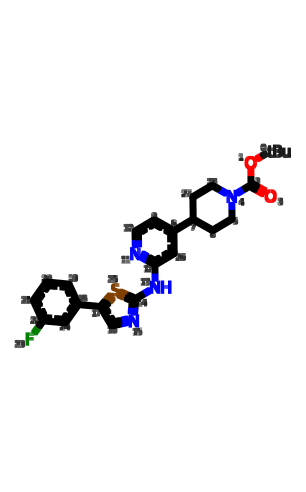 CC(C)(C)OC(=O)N1CCC(c2ccnc(Nc3ncc(-c4cccc(F)c4)s3)c2)CC1